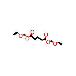 C=COCOC(=O)CCCC(=O)OCOC=C